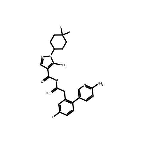 C=C(Cc1cc(F)ccc1-c1ccc(N)nc1)NC(=O)c1cnn(C2CCC(F)(F)CC2)c1N